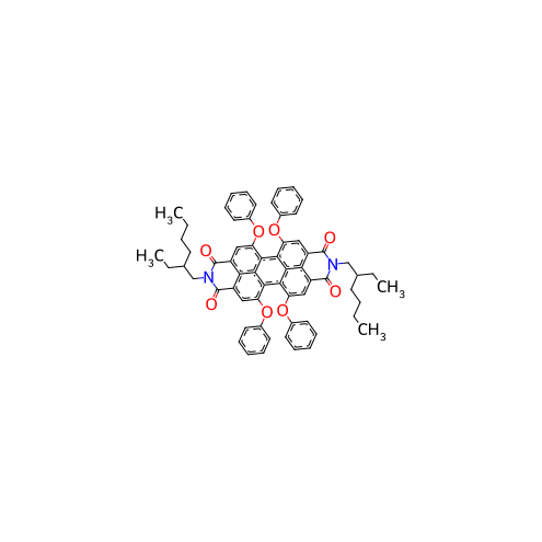 CCCCC(CC)CN1C(=O)c2cc(Oc3ccccc3)c3c4c(Oc5ccccc5)cc5c6c(cc(Oc7ccccc7)c(c7c(Oc8ccccc8)cc(c2c37)C1=O)c64)C(=O)N(CC(CC)CCCC)C5=O